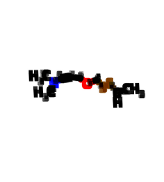 CBSSCOCC#CN(C)C